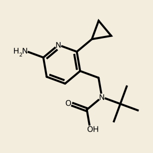 CC(C)(C)N(Cc1ccc(N)nc1C1CC1)C(=O)O